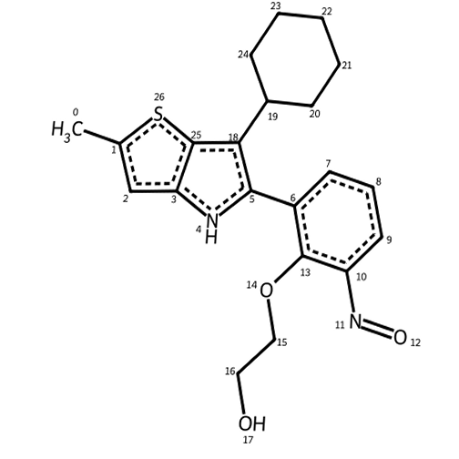 Cc1cc2[nH]c(-c3cccc(N=O)c3OCCO)c(C3CCCCC3)c2s1